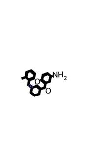 Cc1ccccc1/C=C1/CCCc2c1oc1ccc(N)cc1c2=O